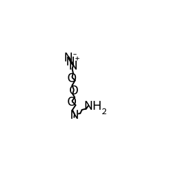 CN(CCCN)CCOCCOCCOCCN=[N+]=[N-]